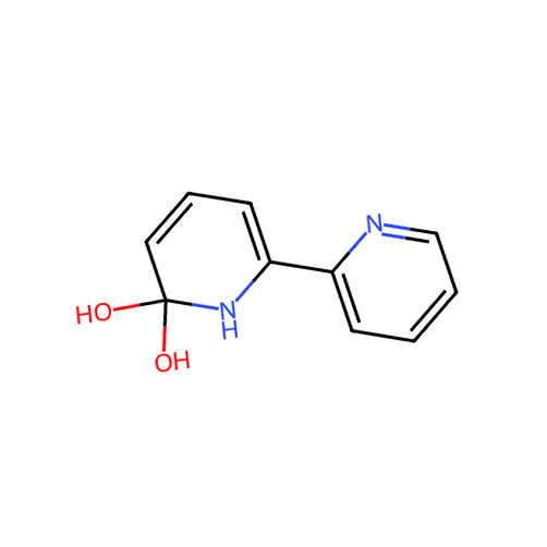 OC1(O)C=CC=C(c2ccccn2)N1